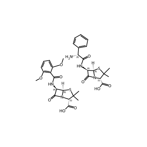 CC1(C)S[C@@H]2[C@H](NC(=O)[C@H](N)c3ccccc3)C(=O)N2[C@H]1C(=O)O.COc1cccc(OC)c1C(=O)N[C@@H]1C(=O)N2[C@@H]1SC(C)(C)[C@@H]2C(=O)O